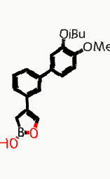 COc1ccc(-c2cccc(C3=COB(O)C3)c2)cc1OCC(C)C